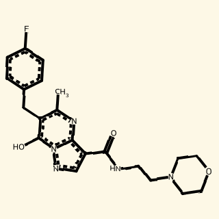 Cc1nc2c(C(=O)NCCN3CCOCC3)cnn2c(O)c1Cc1ccc(F)cc1